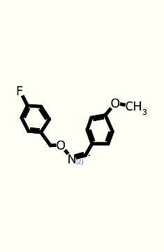 COc1ccc(/[C]=N\OCc2ccc(F)cc2)cc1